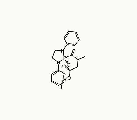 C=C(C(C)CC(=O)OCC)P1(=O)N(c2ccccc2)CCN1c1ccccc1